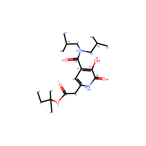 CCC(C)(C)OC(=O)Cc1cc(C(=O)N(CC(C)C)CC(C)C)c(O)c(=O)[nH]1